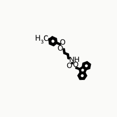 Cc1ccc(C(=O)OCCCCNC(=O)OCC2c3ccccc3-c3ccccc32)cc1